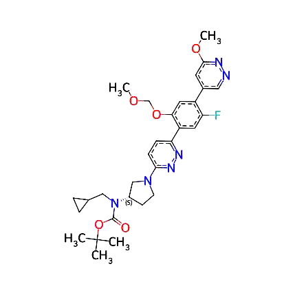 COCOc1cc(-c2cnnc(OC)c2)c(F)cc1-c1ccc(N2CC[C@H](N(CC3CC3)C(=O)OC(C)(C)C)C2)nn1